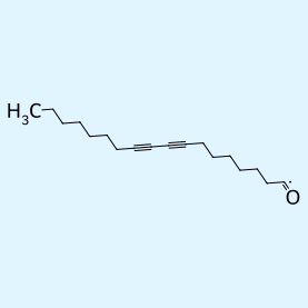 CCCCCCCC#CC#CCCCCCC[C]=O